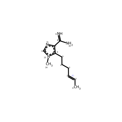 C/C=C/CCCc1c(C(=N)N)ncn1C